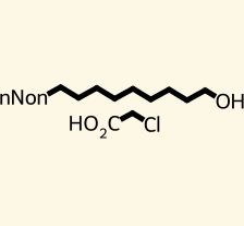 CCCCCCCCCCCCCCCCCCO.O=C(O)CCl